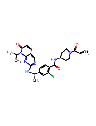 C=CC(=O)N1CCC(NC(=O)c2ccc([C@H](C)Nc3ncc4ccc(=O)n(C(C)C)c4n3)cc2F)CC1